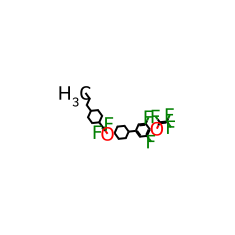 CCCC1CCC(C(F)(F)OC2CCC(c3cc(F)c(OC(F)=C(F)F)c(F)c3)CC2)CC1